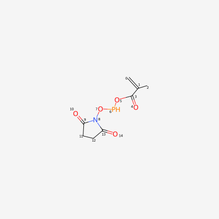 C=C(C)C(=O)OPON1C(=O)CCC1=O